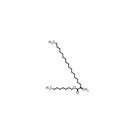 C=C(CCCCCCCCCCCCCCCCCC)C(=O)OCCCCCCCC